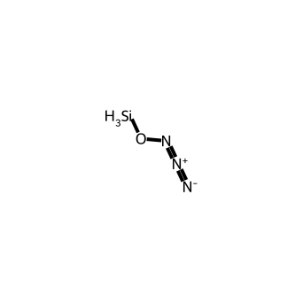 [N-]=[N+]=NO[SiH3]